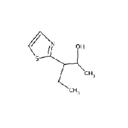 CCC(c1nccs1)C(C)O